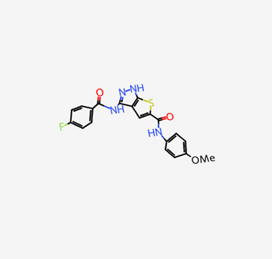 COc1ccc(NC(=O)c2cc3c(NC(=O)c4ccc(F)cc4)n[nH]c3s2)cc1